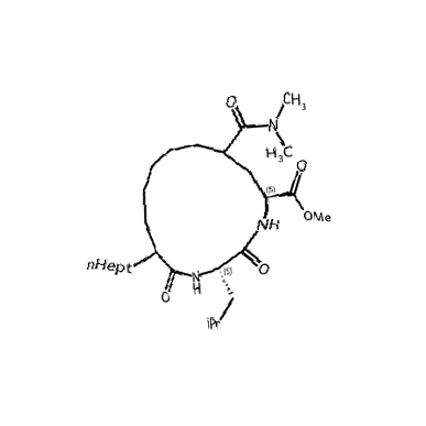 CCCCCCCC1CCCCCC(C(=O)N(C)C)C[C@@H](C(=O)OC)NC(=O)[C@H](CC(C)C)NC1=O